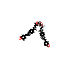 C[Si](C)(CC[Si](C)(C)c1ccc([Si](C)(C)CCC2CCC3OC3C2)cc1)O[Si](C)(C)O[Si](C)(C)CC[Si](C)(C)c1ccc([Si](C)(C)CCC2CCC3OC3C2)cc1